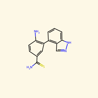 NC(=S)c1ccc(N)c(-c2cccc3[nH]ncc23)c1